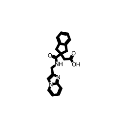 O=C(O)CC1(C(=O)NCc2cn3ccccc3n2)Cc2ccccc2C1